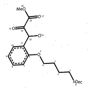 CCCCCCCCCCCCCCOc1ccccc1C(Cl)C(=O)C(=O)OC